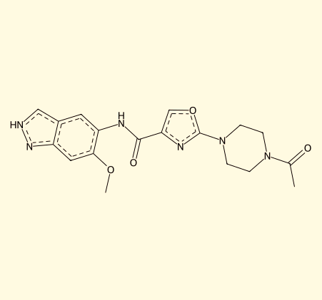 COc1cc2n[nH]cc2cc1NC(=O)c1coc(N2CCN(C(C)=O)CC2)n1